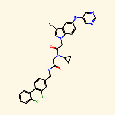 CC(=O)c1cn(CC(=O)N(CC(=O)NCc2ccc(-c3ccccc3Cl)c(F)c2)C2CC2)c2ccc(Nc3cncnc3)cc12